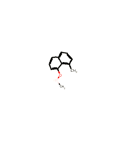 CBOc1cccc2cccc(C)c12